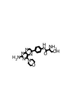 Nc1nc(N2CCOCC2)c2nc(-c3ccc(NC(=O)C(N)CO)cc3)cnc2n1